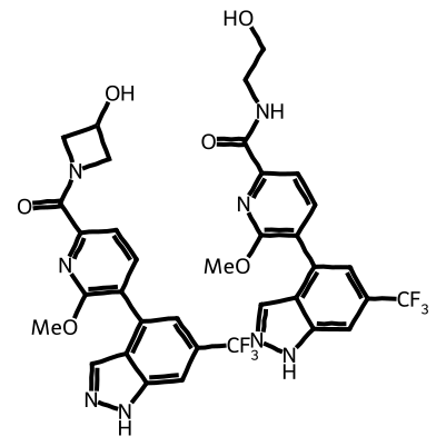 COc1nc(C(=O)N2CC(O)C2)ccc1-c1cc(C(F)(F)F)cc2[nH]ncc12.COc1nc(C(=O)NCCO)ccc1-c1cc(C(F)(F)F)cc2[nH]ncc12